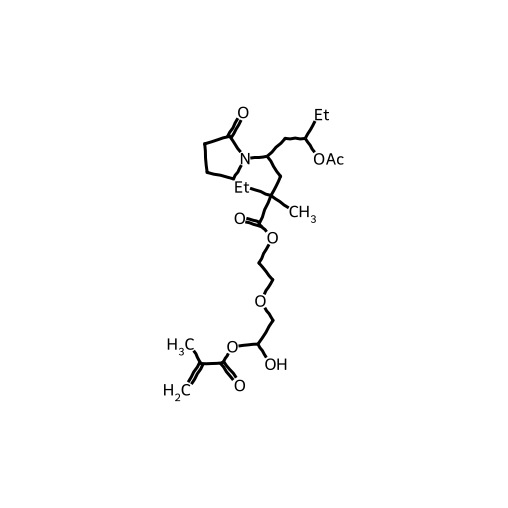 C=C(C)C(=O)OC(O)COCCOC(=O)C(C)(CC)CC(CC(CC)OC(C)=O)N1CCCC1=O